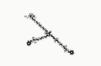 CC(C)(C)OC(=O)CCOCCOCCOCCOCCNC(=O)[C@H](CCCCNC(=O)CCOCCOCCNC(=O)OCc1ccccc1)NC(=O)CCOCCOCCNC(=O)OCc1ccccc1